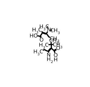 CC/C(=C(/C)C(=O)O)N(C)C.CC/C(N)=C(/C(=O)O)C(C)(C)C